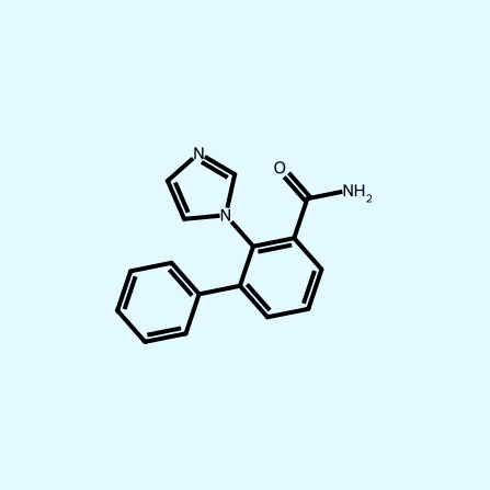 NC(=O)c1cccc(-c2ccccc2)c1-n1ccnc1